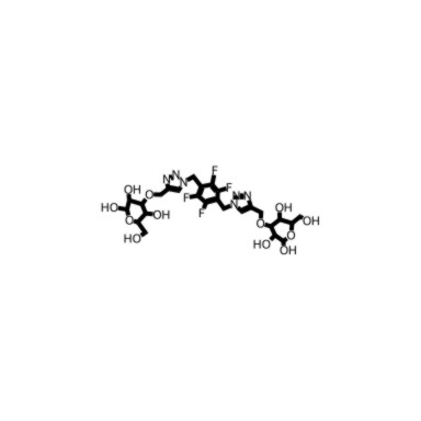 OCC1OC(O)C(O)C(OCc2cn(Cc3c(F)c(F)c(Cn4cc(COC5C(O)C(O)OC(CO)C5O)nn4)c(F)c3F)nn2)C1O